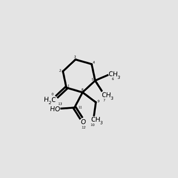 C=C1CCCC(C)(C)C1(CC)C(=O)O